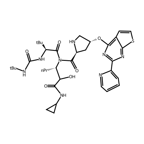 CCC[C@@H](C(O)C(=O)NC1CC1)N(C(=O)[C@@H]1C[C@@H](Oc2nc(-c3ccccn3)nc3sccc23)CN1)C(=O)[C@@H](NC(=O)NC(C)(C)C)C(C)(C)C